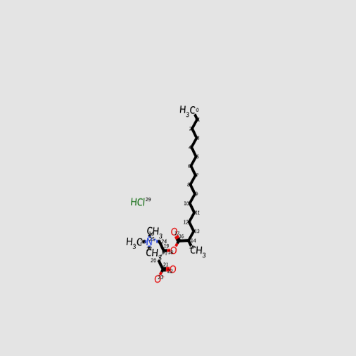 CCCCCCCCCCCCCCC(C)C(=O)O[C@H](CC(=O)[O-])C[N+](C)(C)C.Cl